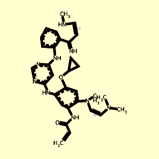 C=CC(=O)Nc1cc(Nc2cc(Nc3ccccc3C(=N)/C=C\NC)ncn2)c(OC2CC2)cc1N(C)/C=C\N(C)C